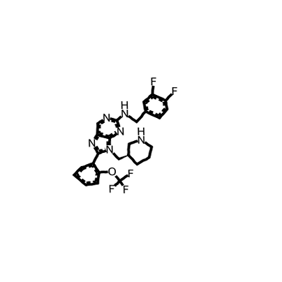 Fc1ccc(CNc2ncc3nc(-c4ccccc4OC(F)(F)F)n(C[C@@H]4CCCNC4)c3n2)cc1F